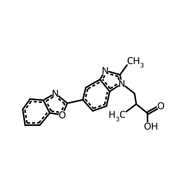 Cc1nc2cc(-c3nc4ccccc4o3)ccc2n1CC(C)C(=O)O